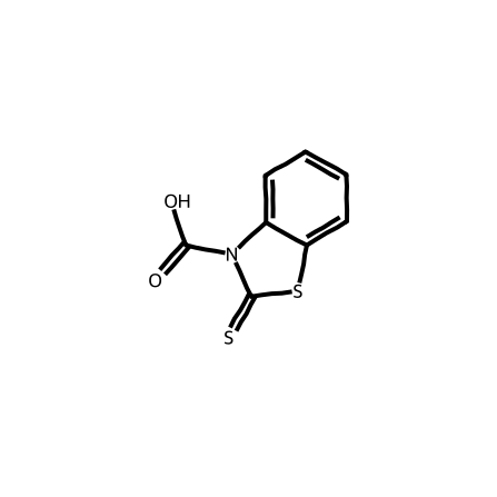 O=C(O)n1c(=S)sc2ccccc21